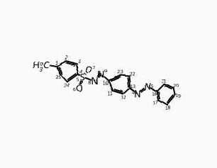 Cc1ccc(S(=O)(=O)/N=N/c2ccc(/N=N/c3ccccc3)cc2)cc1